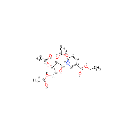 CCOC(=O)c1ccc[n+]([C@@H]2O[C@H](COC(C)=O)[C@H](OC(C)=O)[C@@H]2OC(C)=O)c1